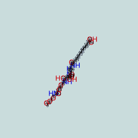 CC(=O)COCCOCCNC(=O)COCCOCCNC(O)CC[C@H](NC(=O)[C@H]1CC[C@H](CNC(=O)CCCCCCCCCCCCCCCCC(=O)O)CC1)C(=O)O